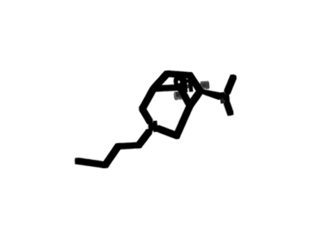 CCCCN1CC2CC[C@@H](N(C)C)C(C1)[C@H]2O